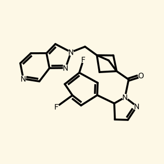 O=C(N1N=CCC1c1cc(F)cc(F)c1)C12CC(Cn3cc4ccncc4n3)(C1)C2